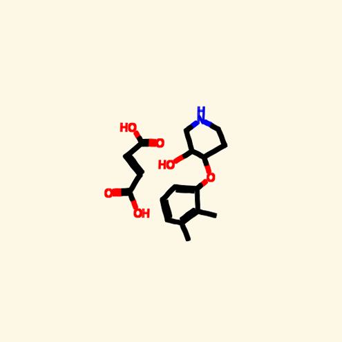 Cc1cccc(OC2CCNCC2O)c1C.O=C(O)C=CC(=O)O